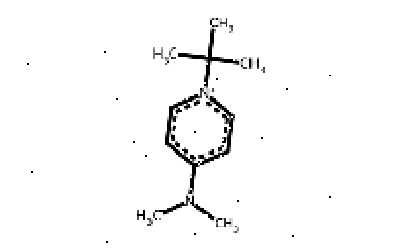 CN(C)c1cc[n+](C(C)(C)C)cc1